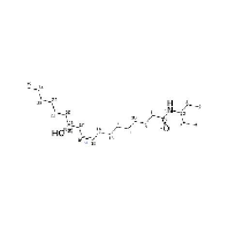 [CH2]CC(CC)NC(=O)CCCCCCC/C=C\C[C@H](O)CCCCCC